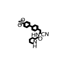 CS(=O)(=O)c1ccc(-c2ccc(C[C@@H](C#N)NC(=O)C3CCCCN3)cc2)cc1